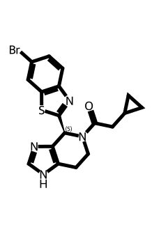 O=C(CC1CC1)N1CCc2[nH]cnc2[C@H]1c1nc2ccc(Br)cc2s1